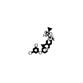 O=S(=O)(Nc1nnc2cc(CN3CCC(Oc4cc(Cl)cc(Cl)c4)CC3)c(C3CC3)cn12)C1CC1